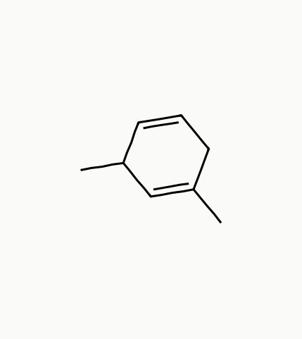 CC1=CC(C)C=CC1